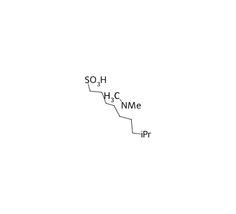 CC(C)CCCCCCCS(=O)(=O)O.CNC